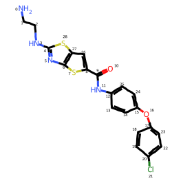 NCCNc1nc2sc(C(=O)Nc3ccc(Oc4ccc(Cl)cc4)cc3)cc2s1